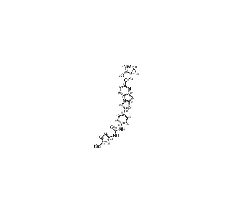 CNC(=O)C1(COc2ccc3c(n2)sc2nc(-c4ccc(NC(=O)Nc5cc(C(C)(C)C)on5)cc4)cn23)CC1